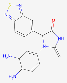 C=C1NC(=O)C(c2ccc3nsnc3c2)N1C1=CC(N)C(N)C=C1